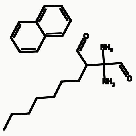 CCCCCCCC(C=O)C(N)(N)C=O.c1ccc2ccccc2c1